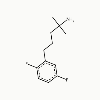 CC(C)(N)CCCc1cc(F)ccc1F